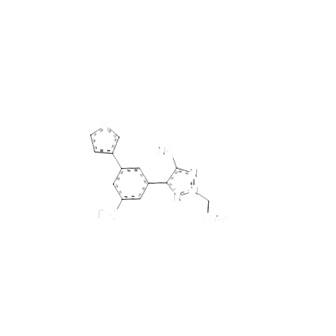 CC(=O)OCn1nc(C#N)c(-c2cc(-c3ccsc3)cc(C(F)(F)F)c2)n1